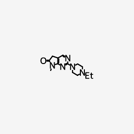 CCN1CCN(c2ncc3c(n2)N(C)C(=O)C3)CC1